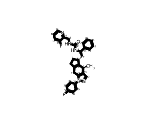 C[C@@H]1C2=C(CC[C@@H]2CC(NC(=O)NCc2ncccc2F)c2ccccc2)Cc2c1cnn2-c1ccc(F)cc1